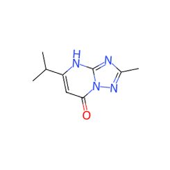 Cc1nc2[nH]c(C(C)C)cc(=O)n2n1